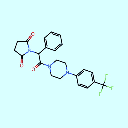 O=C(C(c1ccccc1)N1C(=O)CCC1=O)N1CCN(c2ccc(C(F)(F)F)cc2)CC1